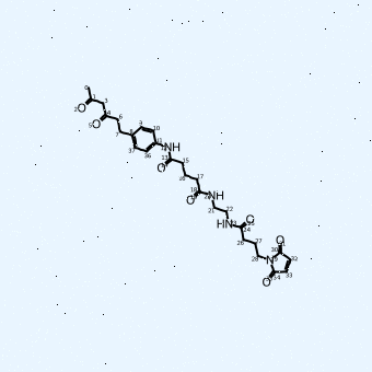 CC(=O)CC(=O)CCc1ccc(NC(=O)CCCC(=O)NCCNC(=O)CCCN2C(=O)C=CC2=O)cc1